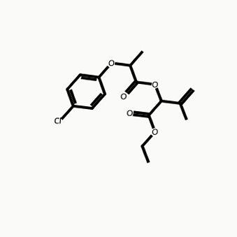 C=C(C)C(OC(=O)C(C)Oc1ccc(Cl)cc1)C(=O)OCC